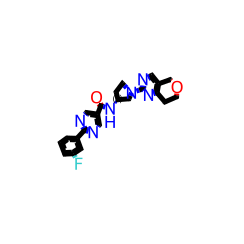 O=C(N[C@H]1CCN(c2ncc3c(n2)CCOC3)C1)c1cnc(-c2cccc(F)c2)nc1